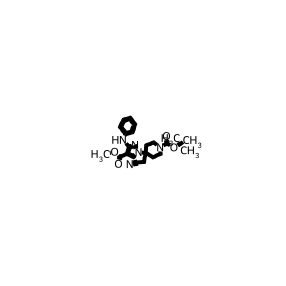 COC(=O)c1cn(C2(CC#N)CCN(C(=O)OC(C)(C)C)CC2)nc1Nc1ccccc1